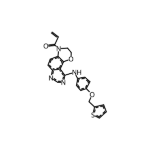 C=CC(=O)N1CCOc2c1ccc1ncnc(Nc3ccc(OCc4cccs4)cc3)c21